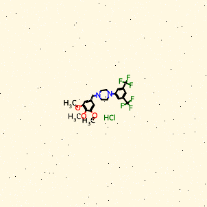 COc1cc(CN2CCN(c3cc(C(F)(F)F)cc(C(F)(F)F)c3)CC2)cc(OC)c1OC.Cl